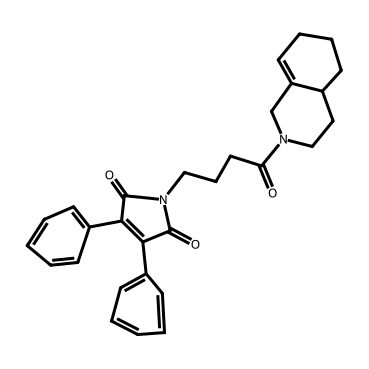 O=C(CCCN1C(=O)C(c2ccccc2)=C(c2ccccc2)C1=O)N1CCC2CCCC=C2C1